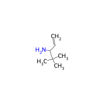 C=CC(N)C(C)(C)C